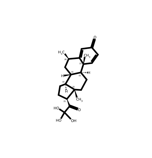 C[C@@H]1C[C@H]2[C@@H]3CC[C@H](C(=O)C(O)(O)O)[C@@]3(C)CC[C@@H]2[C@@]2(C)C=CC(=O)C=C12